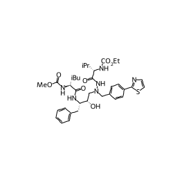 CCOC(=O)N[C@H](C(=O)NN(Cc1ccc(-c2nccs2)cc1)C[C@H](O)[C@H](Cc1ccccc1)NC(=O)[C@@H](NC(=O)OC)[C@@H](C)CC)C(C)C